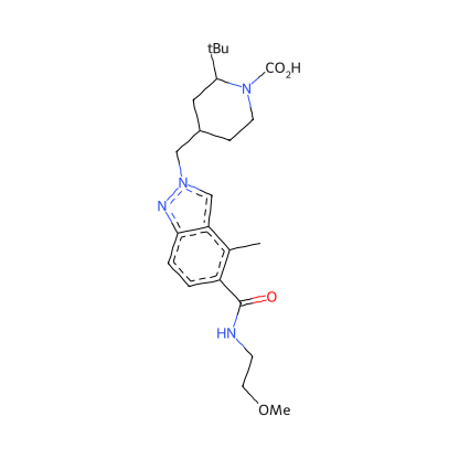 COCCNC(=O)c1ccc2nn(CC3CCN(C(=O)O)C(C(C)(C)C)C3)cc2c1C